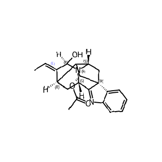 C/C=C1/[C@@H](O)N2[C@H]3C[C@@H]1C1[C@@H](OC(C)=O)[C@@]4(C[C@@H]12)C3=Nc1ccccc14